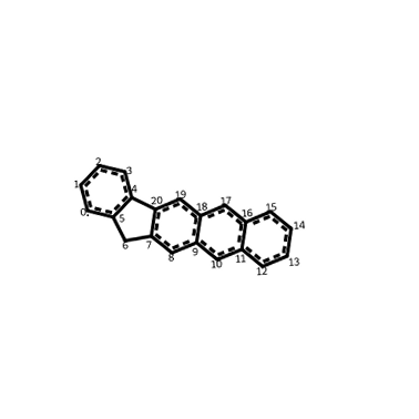 [c]1cccc2c1Cc1cc3cc4ccccc4cc3cc1-2